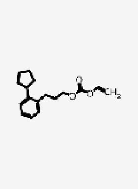 C=COC(=O)OCCCc1ccccc1C1CCCC1